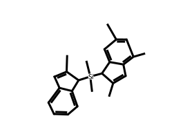 CC1=Cc2ccccc2C1[Si](C)(C)C1C(C)=Cc2c(C)cc(C)cc21